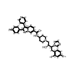 O=C(NC1CCN(C[C@H](O)C(Cc2ccc(F)cc2F)n2cncn2)CC1)c1ccc2c(-c3ccncc3)c(-c3ccc(F)cc3)nn2c1